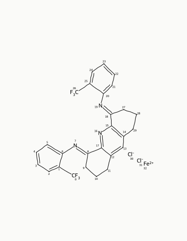 FC(F)(F)c1ccccc1N=C1CCCc2cc3c(nc21)C(=Nc1ccccc1C(F)(F)F)CCC3.[Cl-].[Cl-].[Fe+2]